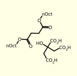 CCCCCCCCOC(=O)CCC(=O)OCCCCCCCC.O=C(O)CC(O)(CC(=O)O)C(=O)O